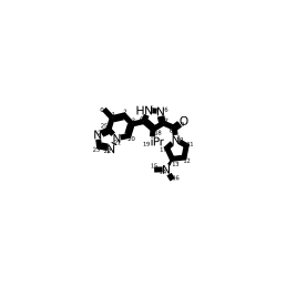 Cc1cc(-c2[nH]nc(C(=O)N3CC[C@@H](N(C)C)C3)c2C(C)C)cn2ncnc12